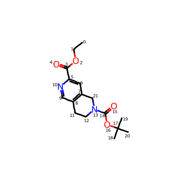 CCOC(=O)c1cc2c(cn1)CCN(C(=O)OC(C)(C)C)C2